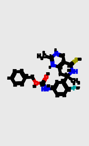 Cc1ncc2c(n1)C[C@@](C)(c1cc(NC(=O)OCc3ccccc3)ccc1F)NC2=S